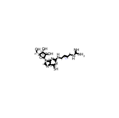 N=C(N)NC/C=C/CNc1nc(S)c2ncn([C@@H]3O[C@H](CO)[C@H](O)C3O)c2n1